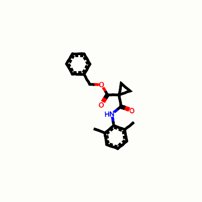 Cc1cccc(C)c1NC(=O)C1(C(=O)OCc2ccccc2)CC1